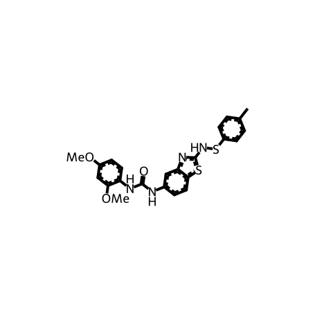 COc1ccc(NC(=O)Nc2ccc3sc(NSc4ccc(C)cc4)nc3c2)c(OC)c1